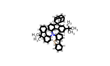 CC(C)(C)c1ccc2c(c1)C1(c3cccc(N(c4cccc5c4-c4ccccc4C5(C)C)c4cccc5c4sc4ccccc45)c3-2)C2CC3CC(C2)CC1C3